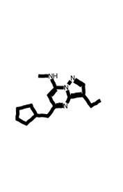 CCc1cnn2c(NC)cc(CC3CCCC3)nc12